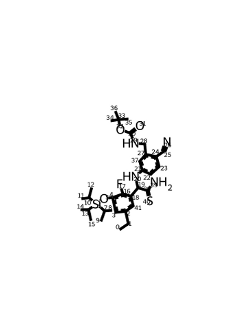 CCc1cc(O[Si](C(C)C)(C(C)C)C(C)C)c(F)c(C(Nc2ccc(C#N)c(CNC(=O)OC(C)(C)C)c2)C(N)=S)c1